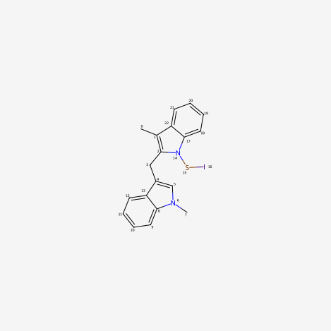 Cc1c(Cc2cn(C)c3ccccc23)n(SI)c2ccccc12